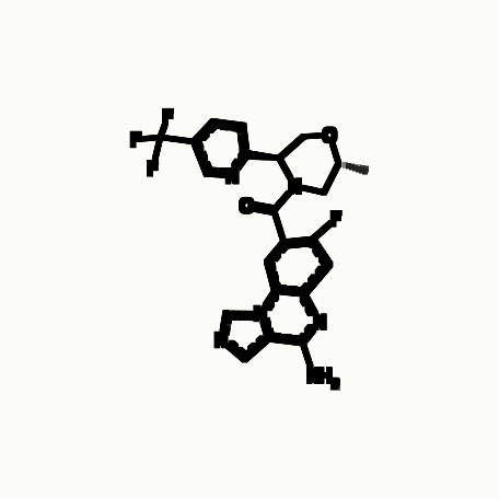 C[C@@H]1CN(C(=O)c2cc3c(cc2F)nc(N)c2cncn23)[C@@H](c2ccc(C(F)(F)F)cn2)CO1